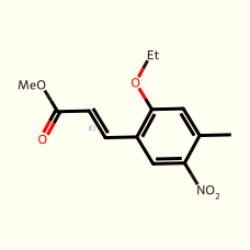 CCOc1cc(C)c([N+](=O)[O-])cc1/C=C/C(=O)OC